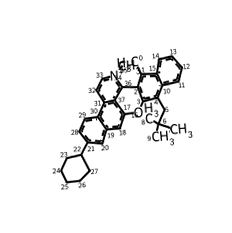 Cc1c2c(c(CC(C)(C)C)c3ccccc13)Oc1cc3cc(C4CCCCC4)ccc3c3cc[n+](C)c-2c13